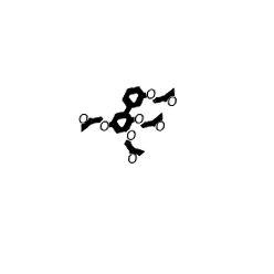 c1cc(OCC2CO2)cc(-c2cc(OCC3CO3)cc(OCC3CO3)c2OCC2CO2)c1